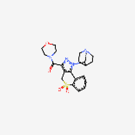 O=C(c1nn(C2CN3CCC2CC3)c2c1CS(=O)(=O)c1ccccc1-2)N1CCOCC1